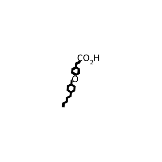 C=CCCCC1CCC(COc2ccc(/C=C/C(=O)O)cc2)CC1